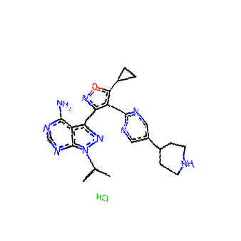 CC(C)n1nc(-c2noc(C3CC3)c2-c2ncc(C3CCNCC3)cn2)c2c(N)ncnc21.Cl